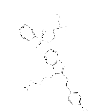 CCOCCCn1c(CCc2ccc(C#N)cc2)nc2cc(N(CCN(CC)CC)S(=O)(=O)c3ccccc3)ccc21